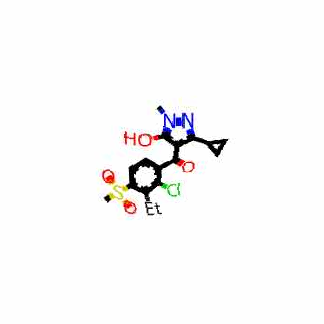 CCc1c(S(C)(=O)=O)ccc(C(=O)c2c(C3CC3)nn(C)c2O)c1Cl